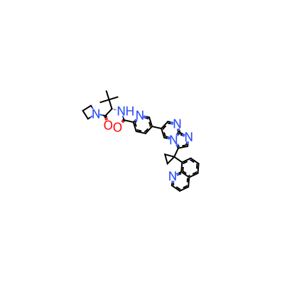 CC(C)(C)[C@H](NC(=O)c1ccc(-c2cnc3ncc(C4(c5cccc6cccnc56)CC4)n3c2)cn1)C(=O)N1CCC1